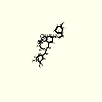 Cc1ccc2c(ccn2-c2cc(Cl)c3c(c2)CN(Cc2cc[nH]c(=O)c2)CCS3(=O)=O)c1